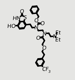 CCN(CC)CCN(CCN(CCc1ccc(O)c2[nH]c(=O)sc12)C(=O)OCc1ccccc1)C(=O)CCOCCc1cccc(C(F)(F)F)c1